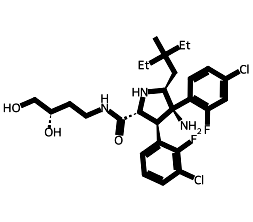 CCC(C)(CC)C[C@@H]1N[C@@H](C(=O)NCC[C@H](O)CO)[C@H](c2cccc(Cl)c2F)[C@@]1(N)c1ccc(Cl)cc1F